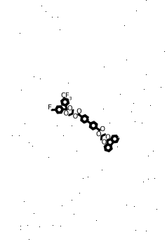 O=C(OC1COC(c2ccc(CF)cc2)(c2ccc(C(F)(F)F)cc2)OC1)c1ccc(-c2ccc(C(=O)OC3COC4(OC3)c3ccccc3-c3ccccc34)cc2)cc1